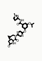 CC(C)Oc1cc(Oc2cnc(N(CC3CC3)C(=O)[C@@H]3CCC(=O)N3)cn2)cc(C(=O)Nc2ccn(C)n2)c1